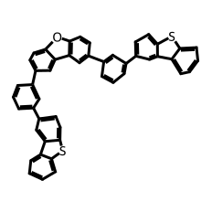 c1cc(-c2ccc3oc4ccc(-c5cccc(-c6ccc7sc8ccccc8c7c6)c5)cc4c3c2)cc(-c2ccc3sc4ccccc4c3c2)c1